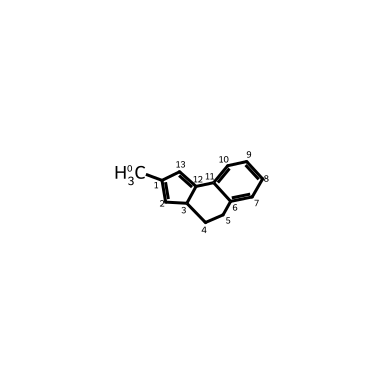 CC1=CC2CCc3ccccc3C2=C1